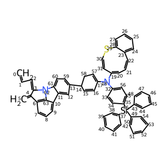 C=C/C=c1\c(=C)c2cccc3c4cc(C5C=CC(N(c6cccc7ccccc7scc6)c6ccc([Si](c7ccccc7)(c7ccccc7)c7ccccc7)cc6)=CC5)ccc4n1c23